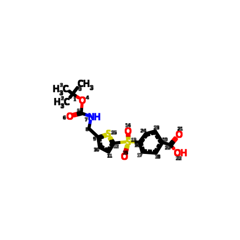 CC(C)(C)OC(=O)NCc1ccc(S(=O)(=O)c2ccc(C(=O)O)cc2)s1